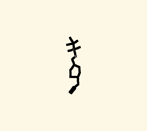 C#CCC1CCC(CO[Si](C)(C)C(C)(C)C)CC1